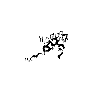 CCCCOc1ccc(C2(C)CC(c3ccn(CC4CC4)n3)=C(N3N=NCC3=O)C(=O)N2)c(F)c1